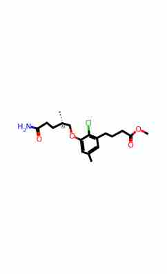 COC(=O)CCCc1cc(C)cc(OC[C@@H](C)CCC(N)=O)c1Cl